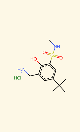 CNS(=O)(=O)c1cc(C(C)(C)C)cc(CN)c1O.Cl